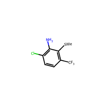 CSc1c(C(F)(F)F)ccc(Cl)c1N